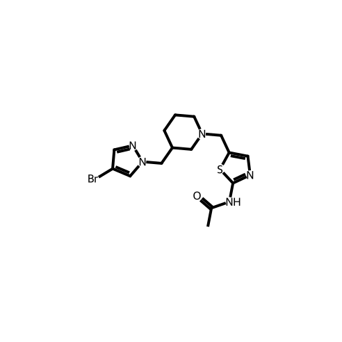 CC(=O)Nc1ncc(CN2CCCC(Cn3cc(Br)cn3)C2)s1